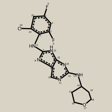 Fc1cc(F)c(Nc2nc3cnc(NC4CCOCC4)nc3[nH]2)c(Cl)c1